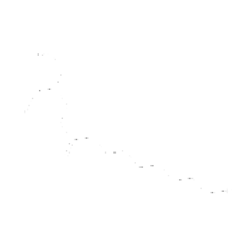 CCCCCCCCCOC(CCC(=O)OCCCCCCCC(C)C)OCCCCCCCCC